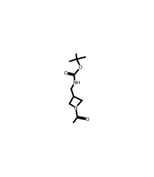 CC(=O)N1CC(CNC(=O)OC(C)(C)C)C1